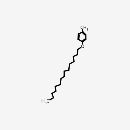 CCCCCCCCCCCCCCCOc1ccc(C)cc1